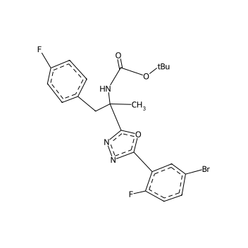 CC(C)(C)OC(=O)NC(C)(Cc1ccc(F)cc1)c1nnc(-c2cc(Br)ccc2F)o1